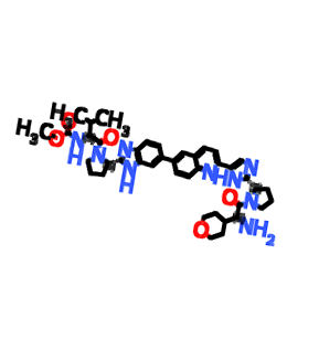 COC(=O)N[C@H](C(=O)N1CCC[C@H]1c1nc2ccc(-c3ccc4nc(-c5cnc([C@@H]6CCCN6C(=O)[C@@H](N)C6CCOCC6)[nH]5)ccc4c3)cc2[nH]1)C(C)C